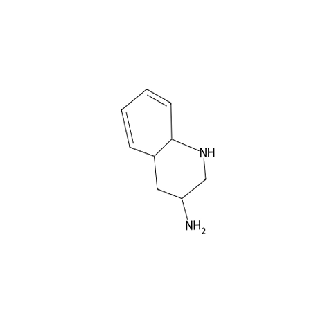 NC1CNC2C=CC=CC2C1